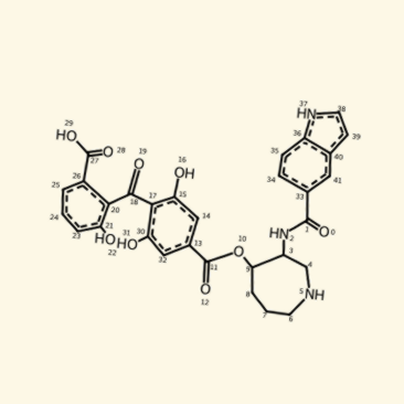 O=C(NC1CNCCCC1OC(=O)c1cc(O)c(C(=O)c2c(O)cccc2C(=O)O)c(O)c1)c1ccc2[nH]ccc2c1